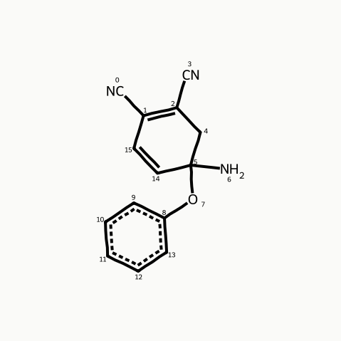 N#CC1=C(C#N)CC(N)(Oc2ccccc2)C=C1